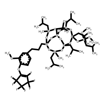 COc1cc(CCC[Si]23O[Si](C)(CC(C)C)O[Si]4(CC(C)C)O[Si](CC(C)C)(O[Si](CC(C)C)(OC)OC)O[Si](CC(C)C)(O[Si](C)(CC(C)C)O2)O[Si](CC(C)C)(O3)O4)ccc1OC1=C(F)C(F)(F)C(F)(F)C1(F)F